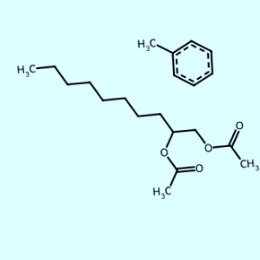 CCCCCCCCC(COC(C)=O)OC(C)=O.Cc1ccccc1